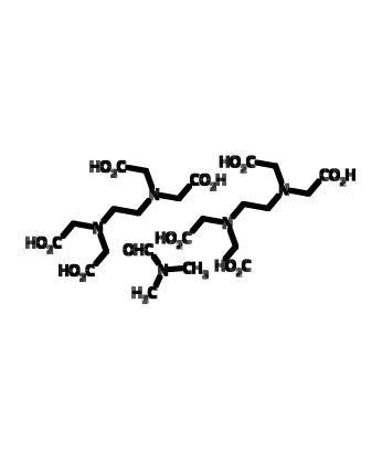 CN(C)C=O.O=C(O)CN(CCN(CC(=O)O)CC(=O)O)CC(=O)O.O=C(O)CN(CCN(CC(=O)O)CC(=O)O)CC(=O)O